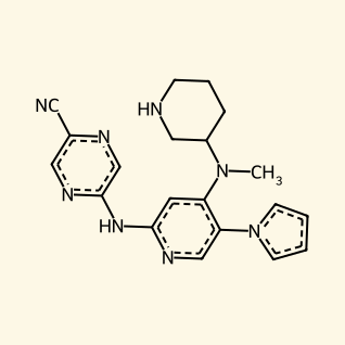 CN(c1cc(Nc2cnc(C#N)cn2)ncc1-n1cccc1)C1CCCNC1